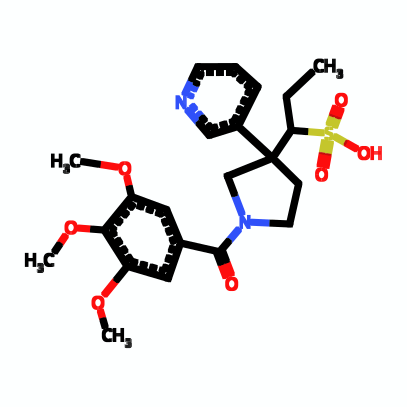 CCC(C1(c2cccnc2)CCN(C(=O)c2cc(OC)c(OC)c(OC)c2)C1)S(=O)(=O)O